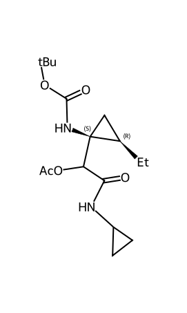 CC[C@@H]1C[C@@]1(NC(=O)OC(C)(C)C)C(OC(C)=O)C(=O)NC1CC1